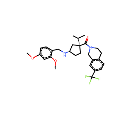 COc1ccc(CN[C@@H]2CC[C@@](C(=O)N3CCc4ccc(C(F)(F)F)cc4C3)(C(C)C)C2)c(OC)c1